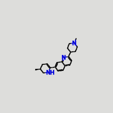 C[C@H]1CC=C(c2ccc3ccc(C4CCN(C)CC4)nc3c2)NC1